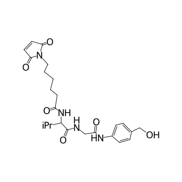 CC(C)C(NC(=O)CCCCCN1C(=O)C=CC1=O)C(=O)NCC(=O)Nc1ccc(CO)cc1